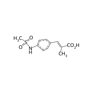 CC(=Cc1ccc(NS(C)(=O)=O)cc1)C(=O)O